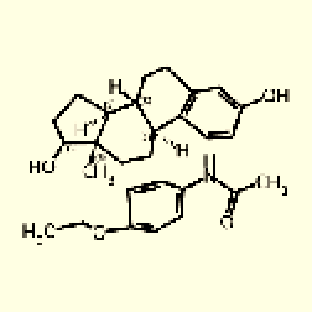 CCOc1ccc(NC(C)=O)cc1.C[C@]12CC[C@@H]3c4ccc(O)cc4CC[C@H]3[C@@H]1CC[C@@H]2O